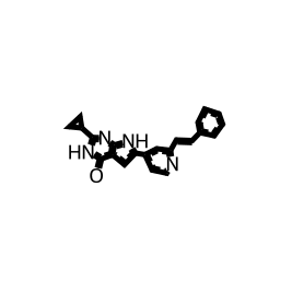 O=c1[nH]c(C2CC2)nc2[nH]c(-c3ccnc(/C=C/c4ccccc4)c3)cc12